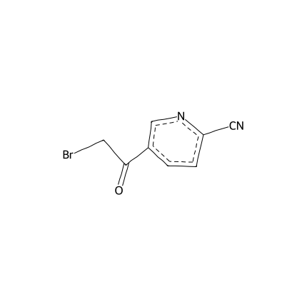 N#Cc1ccc(C(=O)CBr)cn1